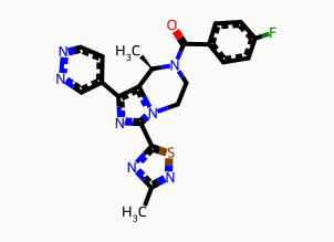 Cc1nsc(-c2nc(-c3ccnnc3)c3n2CCN(C(=O)c2ccc(F)cc2)[C@@H]3C)n1